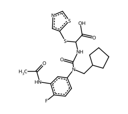 CC(=O)Nc1cc(N(CC2CCCC2)C(=O)NC(Sc2cncs2)C(=O)O)ccc1F